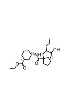 CCCC(CC1(C(=O)N[C@@H]2CCC[C@H](C(=O)OCC)C2)CCCC1)C(=O)O